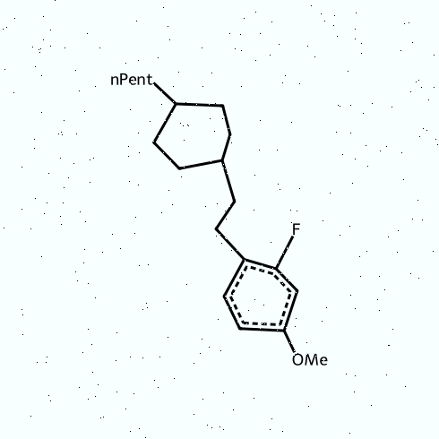 CCCCCC1CCC(CCc2ccc(OC)cc2F)CC1